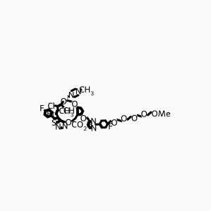 C#C/C1=C(Cl)\C(C)=C(/CC)c2c(-c3ccc(F)cc3)sc3ncnc(c23)O[C@@H](C(=O)O)Cc2cc(ccc2OCc2ccnc(C3=CC[C@@](F)(COCCOCCOCCOCCOC)CC3)n2)OC[C@@H](CN2CCN(C)CC2)O1